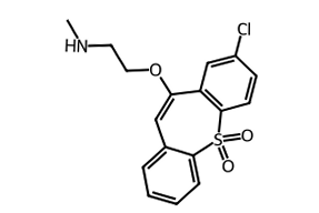 CNCCOC1=Cc2ccccc2S(=O)(=O)c2ccc(Cl)cc21